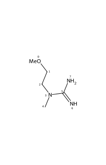 COCCN(C)C(=N)N